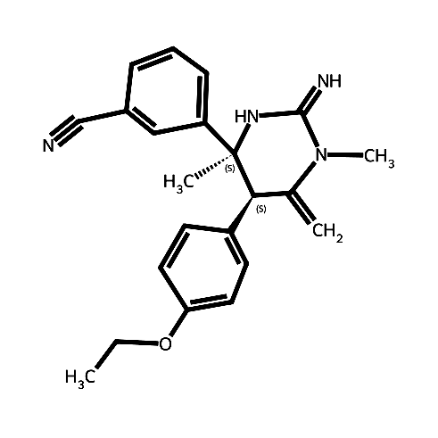 C=C1[C@@H](c2ccc(OCC)cc2)[C@@](C)(c2cccc(C#N)c2)NC(=N)N1C